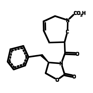 O=C(O)N1CC=CCC(C(=O)N2C(=O)OC[C@H]2Cc2ccccc2)C1